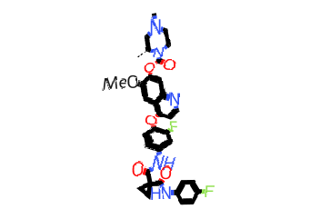 COc1cc2c(Oc3ccc(NC(=O)C4(C(=O)Nc5ccc(F)cc5)CC4)cc3F)ccnc2cc1OC(=O)N1CCN(C)C[C@H]1C